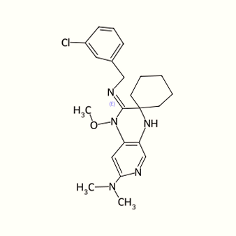 CON1/C(=N/Cc2cccc(Cl)c2)C2(CCCCC2)Nc2cnc(N(C)C)cc21